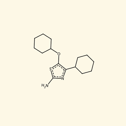 Nc1nc(C2CCCCC2)c(OC2CCCCC2)s1